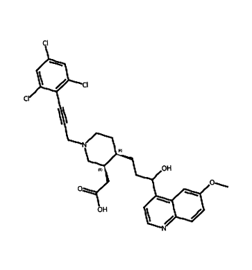 COc1ccc2nccc(C(O)CC[C@@H]3CCN(CC#Cc4c(Cl)cc(Cl)cc4Cl)C[C@@H]3CC(=O)O)c2c1